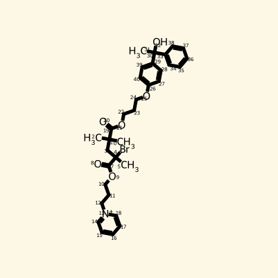 CC(C)(CC(C)(Br)C(=O)OCCC[n+]1ccccc1)C(=O)OCCCOc1ccc(C(C)(O)c2ccccc2)cc1